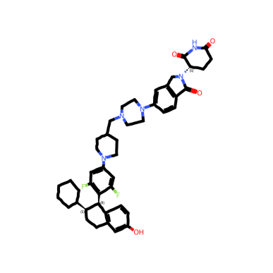 O=C1CC[C@H](N2Cc3cc(N4CCN(CC5CCN(c6cc(F)c([C@H]7c8ccc(O)cc8CC[C@H]7C7CCCCC7)c(F)c6)CC5)CC4)ccc3C2=O)C(=O)N1